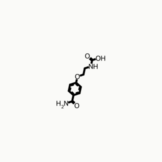 NC(=O)c1ccc(OCCNC(=O)O)cc1